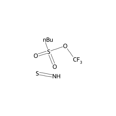 CCCCS(=O)(=O)OC(F)(F)F.N=S